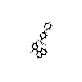 CC(Nc1ccc(Cl)c(-c2nccc3ccccc23)c1)c1ccc(N2CCOCC2)nc1